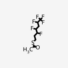 CC(=O)SCCC(F)C(F)CC(F)C(F)(F)F